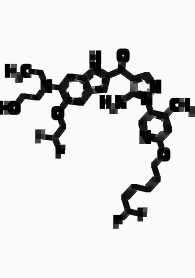 CCN(CCO)c1cc2[nH]c(C(=O)c3cnn(-c4cnc(OC/C=C\C=C/C(F)F)cc4C)c3N)cc2cc1OCC(F)F